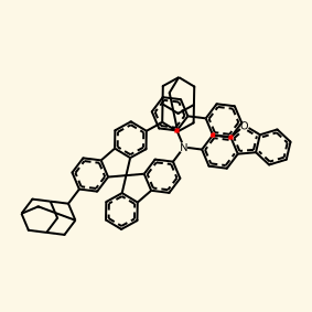 c1ccc(-c2ccccc2N(c2ccc3c(c2)C2(c4ccccc4-3)c3cc(C4C5CC6CC(C5)CC4C6)ccc3-c3ccc(C4C5CC6CC(C5)CC4C6)cc32)c2ccc3c(c2)oc2ccccc23)cc1